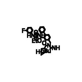 CCCCC(=N)N(Cc1ccc(-c2ccccc2NS(=O)(=O)Nc2cccc(F)c2)c(COCC)c1)C(=O)C1CC2C[C@@H]2C1